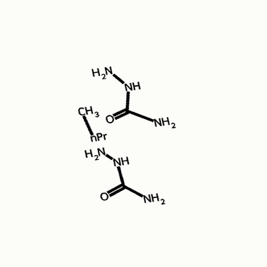 CCCC.NNC(N)=O.NNC(N)=O